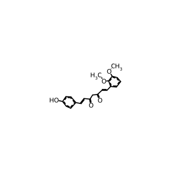 COc1cccc(/C=C/C(=O)CC(=O)/C=C/c2ccc(O)cc2)c1OC